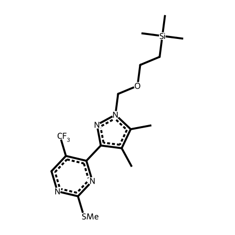 CSc1ncc(C(F)(F)F)c(-c2nn(COCC[Si](C)(C)C)c(C)c2C)n1